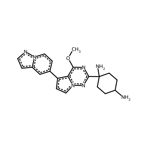 COc1nc(C2(N)CCC(N)CC2)nn2ccc(-c3ccn4nccc4c3)c12